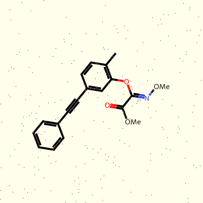 CO/N=C(\Oc1cc(C#Cc2ccccc2)ccc1C)C(=O)OC